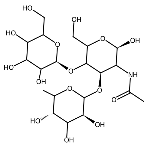 CC(=O)NC1[C@@H](OC2OC(C)[C@@H](O)C(O)[C@@H]2O)C(O[C@@H]2OC(CO)C(O)C(O)C2O)C(CO)O[C@H]1O